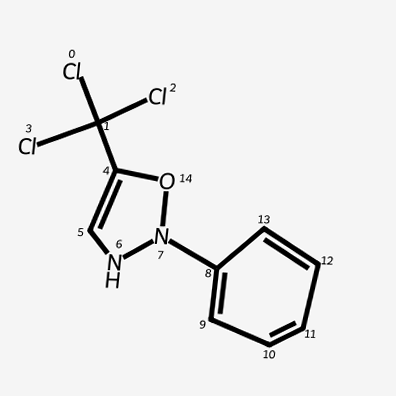 ClC(Cl)(Cl)C1=CNN(c2ccccc2)O1